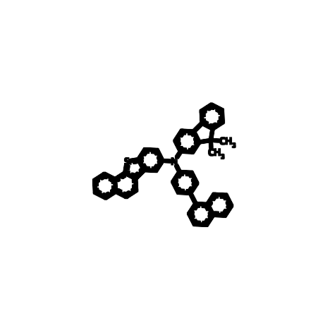 CC1(C)c2ccccc2-c2ccc(N(c3ccc(-c4cccc5ccccc45)cc3)c3ccc4sc5c6ccccc6ccc5c4c3)cc21